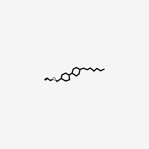 C=CCOCC1CCC(C2CCC(CCCCCCC)CC2)CC1